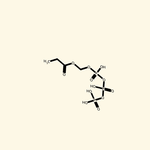 CCC(=O)OCOP(=O)(O)OP(=O)(O)OP(=O)(O)O